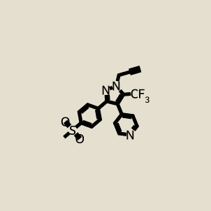 C#CCn1nc(-c2ccc(S(C)(=O)=O)cc2)c(-c2ccncc2)c1C(F)(F)F